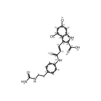 NC(=O)NCCc1ccc(NC(=O)/C=C/c2c(C(=O)O)[nH]c3cc(Cl)cc(Cl)c23)cc1